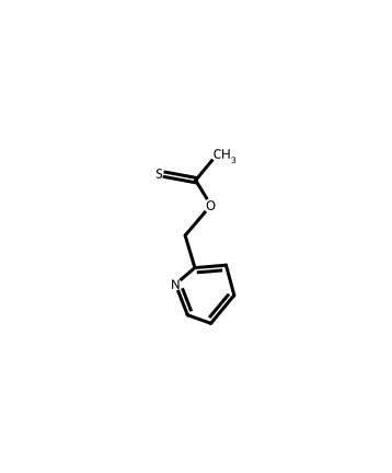 CC(=S)OCc1ccccn1